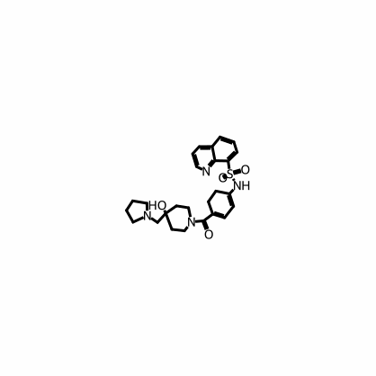 O=C(C1=CC=C(NS(=O)(=O)c2cccc3cccnc23)CC1)N1CCC(O)(CN2CCCC2)CC1